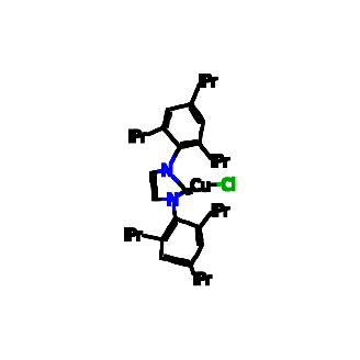 CC(C)c1cc(C(C)C)c(-n2ccn(-c3c(C(C)C)cc(C(C)C)cc3C(C)C)[c]2=[Cu][Cl])c(C(C)C)c1